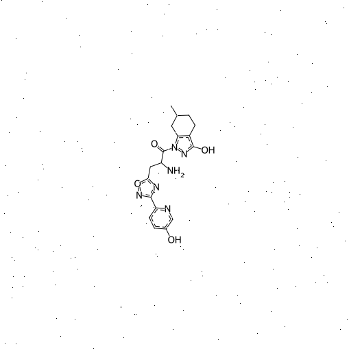 CC1CCc2c(O)nn(C(=O)C(N)Cc3nc(-c4ccc(O)cn4)no3)c2C1